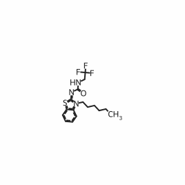 CCCCCCn1c(=NC(=O)NCC(F)(F)F)sc2ccccc21